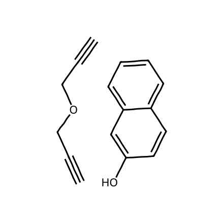 C#CCOCC#C.Oc1ccc2ccccc2c1